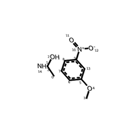 CCO.COc1cccc([N+](=O)[O-])c1.N